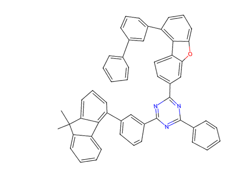 CC1(C)c2ccccc2-c2c(-c3cccc(-c4nc(-c5ccccc5)nc(-c5ccc6c(c5)oc5cccc(-c7cccc(-c8ccccc8)c7)c56)n4)c3)cccc21